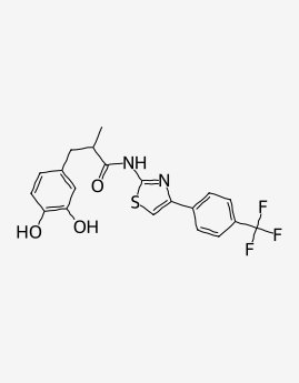 CC(Cc1ccc(O)c(O)c1)C(=O)Nc1nc(-c2ccc(C(F)(F)F)cc2)cs1